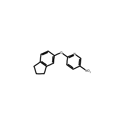 O=[N+]([O-])c1ccc(Oc2ccc3c(c2)CCC3)nc1